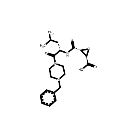 CC(C)C[C@H](NC(=O)[C@@H]1O[C@H]1C(=O)O)C(=O)N1CCN(Cc2ccccc2)CC1